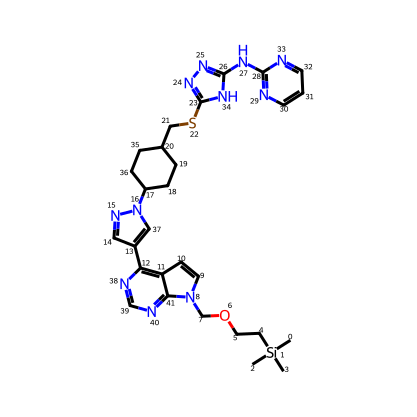 C[Si](C)(C)CCOCn1ccc2c(-c3cnn(C4CCC(CSc5nnc(Nc6ncccn6)[nH]5)CC4)c3)ncnc21